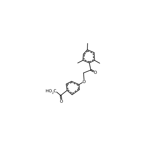 Cc1cc(C)c(C(=O)COc2ccc(C(=O)C(=O)O)cc2)c(C)c1